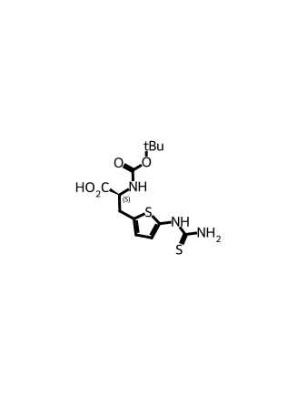 CC(C)(C)OC(=O)N[C@@H](Cc1ccc(NC(N)=S)s1)C(=O)O